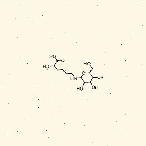 C[C@@H](CCCCNC1OC(CO)C(O)C(O)C1O)C(=O)O